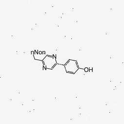 CCCCCCCCCCc1cnc(-c2ccc(O)cc2)cn1